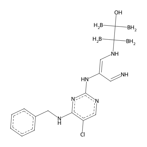 BC(B)(O)C(B)(B)N/C=C(\C=N)Nc1ncc(Cl)c(NCc2ccccc2)n1